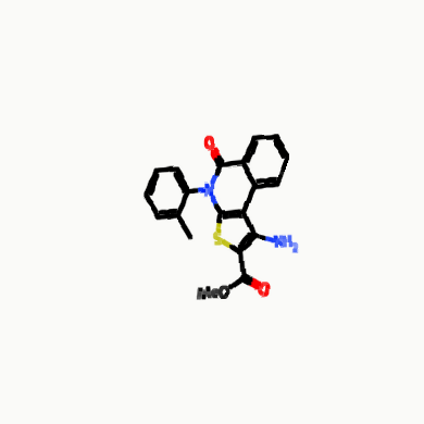 COC(=O)c1sc2c(c1N)c1ccccc1c(=O)n2-c1ccccc1C